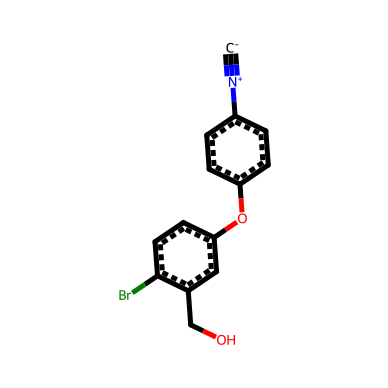 [C-]#[N+]c1ccc(Oc2ccc(Br)c(CO)c2)cc1